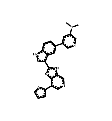 CN(C)c1cncc(-c2ccc3[nH]nc(-c4nc5c(-c6cccs6)cncc5[nH]4)c3c2)c1